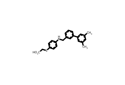 Cc1cc(C)cc(-c2cccc(CNc3ccc(SCC(=O)O)cc3)c2)c1